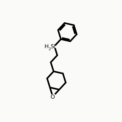 c1ccc([SiH2]CCC2CCC3OC3C2)cc1